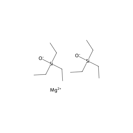 CC[Si]([O-])(CC)CC.CC[Si]([O-])(CC)CC.[Mg+2]